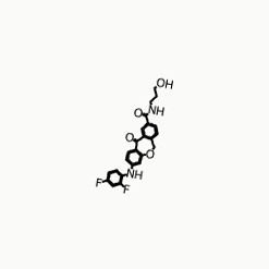 O=C(NCCCO)c1ccc2c(c1)C(=O)c1ccc(Nc3ccc(F)cc3F)cc1OC2